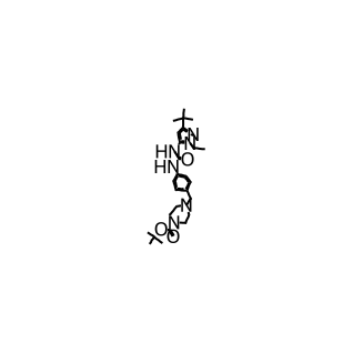 CCn1nc(C(C)(C)C)cc1NC(=O)Nc1ccc(CN2CCN(C(=O)OC(C)(C)C)CC2)cc1